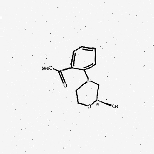 COC(=O)c1ccccc1N1CCO[C@H](C#N)C1